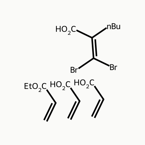 C=CC(=O)O.C=CC(=O)O.C=CC(=O)OCC.CCCCC(C(=O)O)=C(Br)Br